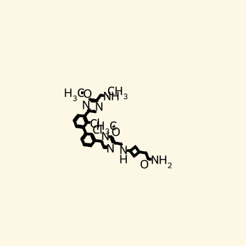 CNCc1ncc(-c2cccc(-c3cccc(-c4cnc(CNC5CC(CC(N)=O)C5)c(OC)n4)c3Cl)c2Cl)nc1OC